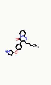 CCCCc1nc2ccccn2c(=O)c1-c1ccc(O[C@@H]2CCNC2)cc1